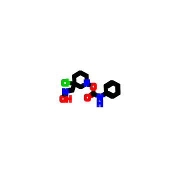 O=C(Nc1ccccc1)ON1CCCC(Cl)(C=NO)C1